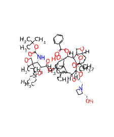 CC[Si](CC)(CC)O[C@@H](C(=O)O[C@H]1C[C@@]2(O)[C@@H](OC(=O)c3ccccc3)[C@H]3[C@@](C)(CC[C@H]4OC[C@]43OC(C)=O)[C@@H]3O[C@H](CN4CC[C@H]4CO)O[C@@H]3C(=C1C)C2(C)C)[C@@H](NC(=O)OC(C)(C)C)C1(C)COC1